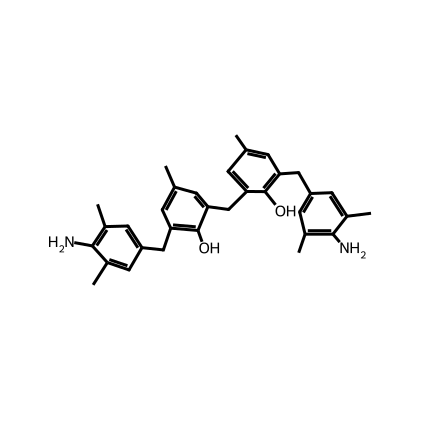 Cc1cc(Cc2cc(C)c(N)c(C)c2)c(O)c(Cc2cc(C)cc(Cc3cc(C)c(N)c(C)c3)c2O)c1